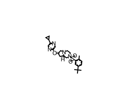 Cc1ccc(C(C)(C)C)cc1S(=O)(=O)N1CCN2C[C@@H](Oc3cnc(C4CC4)cn3)C[C@H]2C1